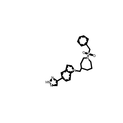 O=S(=O)(Cc1ccccc1)N1CCCC(Cn2ccc3cc(-c4cn[nH]n4)ccc32)CC1